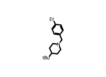 CCc1ccc(CN2CCC(C(C)(C)C)CC2)cc1